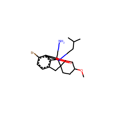 COC1CCC2(CC1)Cc1ccc(Br)cc1C21N=C(N)N(CC(C)C)C1=O